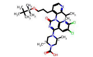 CC(C)c1nccc(CCCO[Si](C)(C)C(C)(C)C)c1-n1c(=O)nc(N2C[C@@H](C)N(C(=O)O)C[C@@H]2C)c2cc(Cl)c(Cl)nc21